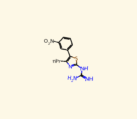 CCCc1nc(NC(=N)N)sc1-c1cccc([N+](=O)[O-])c1